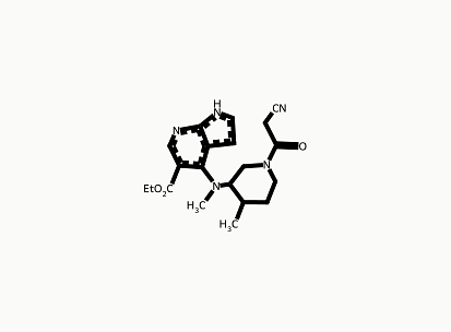 CCOC(=O)c1cnc2[nH]ccc2c1N(C)C1CN(C(=O)CC#N)CCC1C